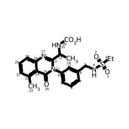 CCS(=O)(=O)NCc1cccc(-n2c(C(C)NC(=O)O)nc3cccc(C)c3c2=O)c1